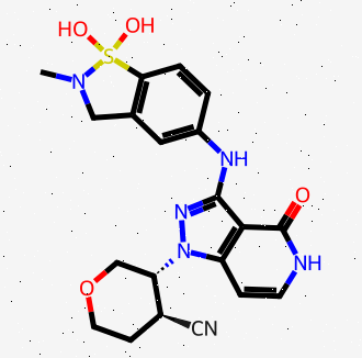 CN1Cc2cc(Nc3nn([C@H]4COCC[C@@H]4C#N)c4cc[nH]c(=O)c34)ccc2S1(O)O